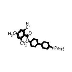 CCCCCC1CCC(C2CCC(OC(=O)c3c(C)cc(C)cc3C)CC2)CC1